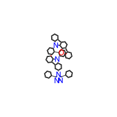 c1ccc(-c2nnc(-c3ccccc3)n2-c2ccc3c(c2)c2ccccc2n3-c2ccccc2-c2ccccc2-n2c3ccccc3c3ccc4c5ccccc5oc4c32)cc1